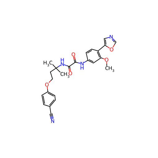 COc1cc(NC(=O)C(=O)NC(C)(C)CCOc2ccc(C#N)cc2)ccc1-c1cnco1